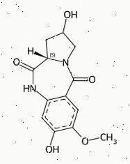 COc1cc2c(cc1O)NC(=O)[C@@H]1CC(O)CN1C2=O